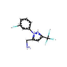 NCc1cc(C(F)(F)F)nn1-c1cccc(F)c1